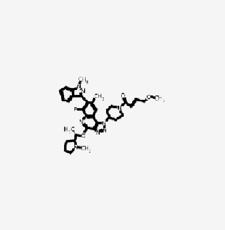 COC/C=C/C(=O)N1CCC(n2nnc3c(O[C@@H](C)C4CCCN4C)nc4c(F)c(-c5nn(C)c6ccccc56)c(C)cc4c32)CC1